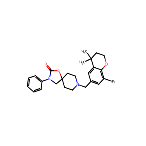 CC(C)c1cc(CN2CCC3(CC2)CN(c2ccccc2)C(=O)O3)cc2c1OCCC2(C)C